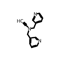 C#CN(Cc1cccnc1)Cc1cccnc1